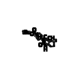 CC(C)(C)OC(=O)N1CCC(N2C(=O)Nc3ccccc3C2(C)C)CC1